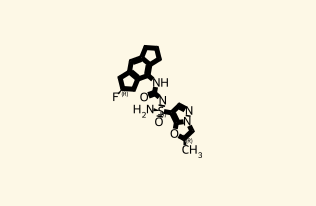 C[C@@H]1Cn2ncc([S@](N)(=O)=NC(=O)Nc3c4c(cc5c3C[C@H](F)C5)CCC4)c2O1